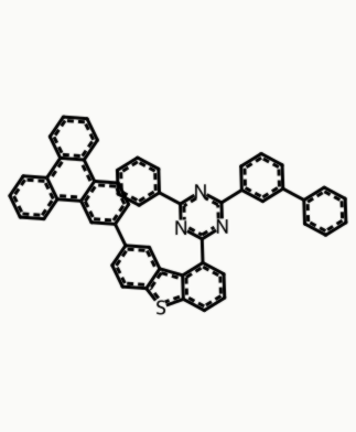 c1ccc(-c2cccc(-c3nc(-c4ccccc4)nc(-c4cccc5sc6ccc(-c7ccc8c9ccccc9c9ccccc9c8c7)cc6c45)n3)c2)cc1